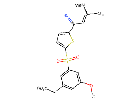 CCOc1cc(CC(=O)O)cc(S(=O)(=O)c2ccc(C(=N)/C=C(\NC)C(F)(F)F)s2)c1